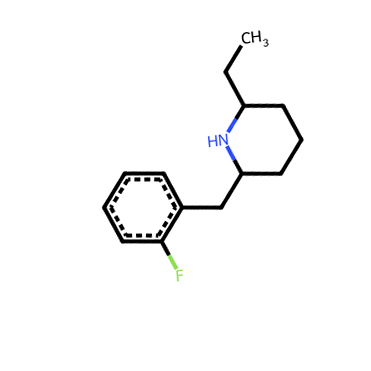 CCC1CCCC(Cc2ccccc2F)N1